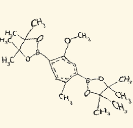 COc1cc(B2OC(C)(C)C(C)(C)O2)c(C)cc1B1OC(C)(C)C(C)(C)O1